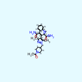 CC(=O)N1CCC(Cn2nc(C)c(-c3c(C(N)=O)nc4ccccc4c3C(N)=O)c2C)CC1